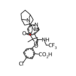 CC(C)(Oc1ccc(Cl)cc1C(=O)O)C(=O)NC1CC2CCC(C1)N2c1ccc(C(=O)NCC(F)(F)F)cn1